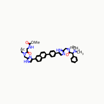 CCCN(Cc1ncc(-c2ccc(-c3ccc4cc(-c5c[nH]c(CN(CC(C)=O)C(=O)CNC(=O)OC)n5)ccc4c3)cc2)[nH]1)C(=O)C(c1ccccc1)N(C)C